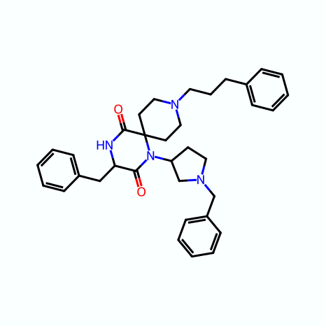 O=C1C(Cc2ccccc2)NC(=O)C2(CCN(CCCc3ccccc3)CC2)N1C1CCN(Cc2ccccc2)C1